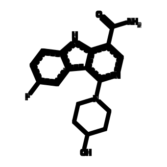 NC(=O)c1cnc(N2CCC(O)CC2)c2c1[nH]c1ccc(F)cc12